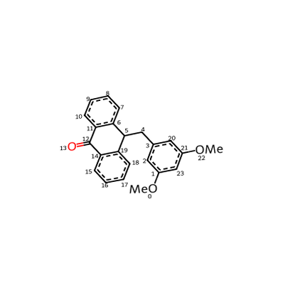 COc1cc(CC2c3ccccc3C(=O)c3ccccc32)cc(OC)c1